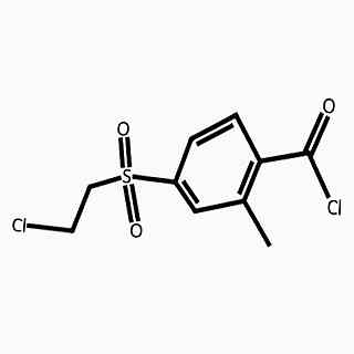 Cc1cc(S(=O)(=O)CCCl)ccc1C(=O)Cl